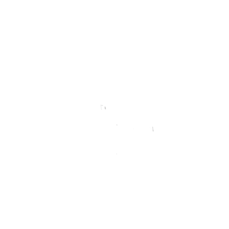 CCOC1(OCC)C(=O)CCN1C